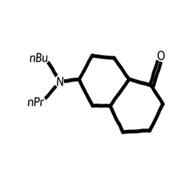 CCCCN(CCC)C1CCC2C(=O)CCCC2C1